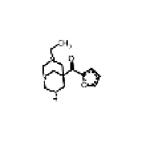 CCN1CN2CNCC(C(=O)c3ccco3)(C1)C2